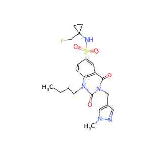 CCCCn1c(=O)n(Cc2cnn(C)c2)c(=O)c2cc(S(=O)(=O)NC3(CF)CC3)ccc21